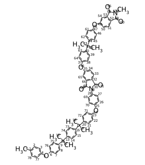 Cc1ccc(Oc2ccc(C(C)(C)c3ccc(C(C)(C)c4ccc(Oc5ccc(N6C(=O)c7ccc(Oc8ccc(C(C)(C)c9ccc(Oc%10ccc%11c(c%10)C(=O)N(C)C%11=O)cc9)cc8)cc7C6=O)cc5)cc4)cc3)cc2)cc1